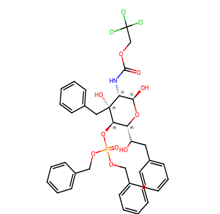 O=C(N[C@@H]1[C@@H](O)O[C@H](C(O)Cc2ccccc2)[C@@H](OP(=O)(OCc2ccccc2)OCc2ccccc2)[C@@]1(O)Cc1ccccc1)OCC(Cl)(Cl)Cl